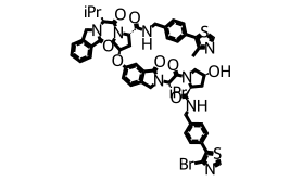 Cc1ncsc1-c1ccc(CNC(=O)[C@@H]2C[C@@H](Oc3ccc4c(c3)C(=O)N([C@H](C(=O)N3C[C@H](O)C[C@H]3C(=O)NCc3ccc(-c5scnc5Br)cc3)C(C)C)C4)CN2C(=O)[C@H](C(C)C)N2Cc3ccccc3C2=O)cc1